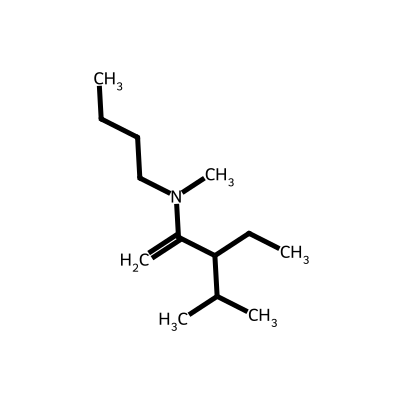 C=C(C(CC)C(C)C)N(C)CCCC